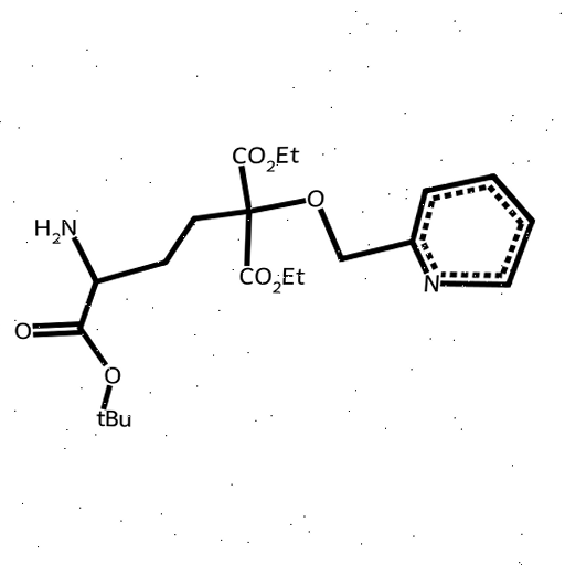 CCOC(=O)C(CCC(N)C(=O)OC(C)(C)C)(OCc1ccccn1)C(=O)OCC